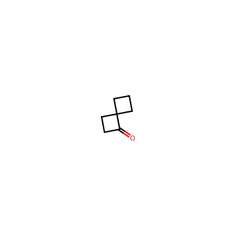 O=C1CCC12CCC2